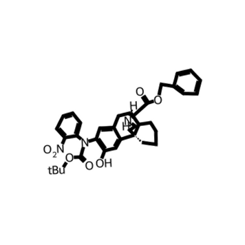 CC(C)(C)OC(=O)N(c1cc2c(cc1O)[C@]13CCCC[C@@H]1[C@H](C2)N(C(=O)OCc1ccccc1)CC3)c1ccccc1[N+](=O)[O-]